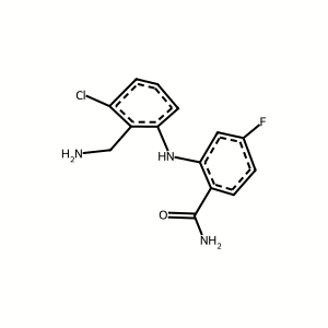 NCc1c(Cl)cccc1Nc1cc(F)ccc1C(N)=O